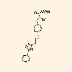 COC(=O)C(Br)Cc1ccc(OCCc2nc(-c3ccccc3)oc2C)cc1